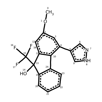 COc1cc(-c2cn[nH]c2)c2c(c1)C(O)(C(F)(F)F)c1ccccc1-2